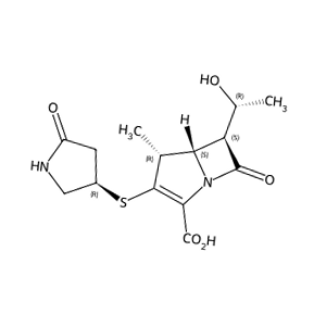 C[C@@H](O)[C@H]1C(=O)N2C(C(=O)O)=C(S[C@H]3CNC(=O)C3)[C@H](C)[C@H]12